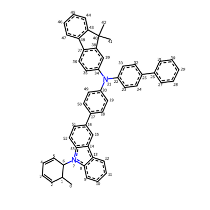 CC1C=CC=CC1n1c2ccccc2c2cc(-c3ccc(N(c4ccc(-c5ccccc5)cc4)c4ccc5c(c4)C(C)(C)c4ccccc4-5)cc3)ccc21